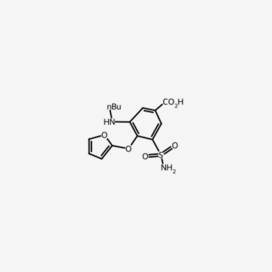 CCCCNc1cc(C(=O)O)cc(S(N)(=O)=O)c1Oc1ccco1